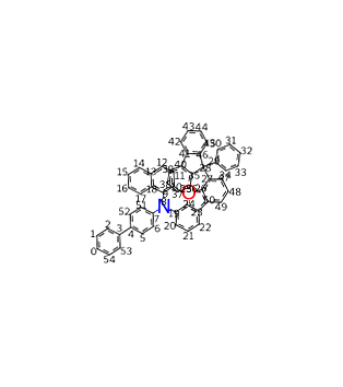 c1ccc(-c2ccc(N(c3cccc4ccccc34)c3cccc4c3oc3c(C5(c6ccccc6)c6ccccc6-c6ccccc65)cccc34)cc2)cc1